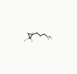 [CH2]CCCC1CC1(F)F